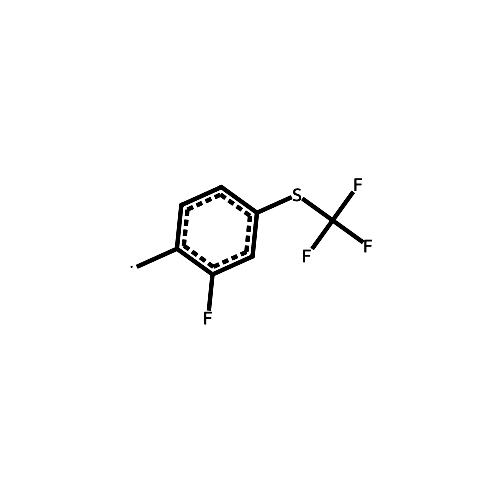 [CH2]c1ccc(SC(F)(F)F)cc1F